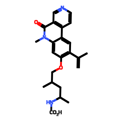 C=C(C)c1cc2c3ccncc3c(=O)n(C)c2cc1OCC(C)CC(C)NC(=O)O